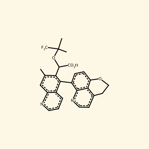 Cc1cc2ncccc2c(-c2ccc3c4c(ccnc24)CCO3)c1C(OC(C)(C)C(F)(F)F)C(=O)O